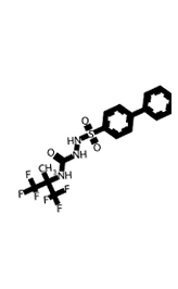 CC(NC(=O)NNS(=O)(=O)c1ccc(-c2ccccc2)cc1)(C(F)(F)F)C(F)(F)F